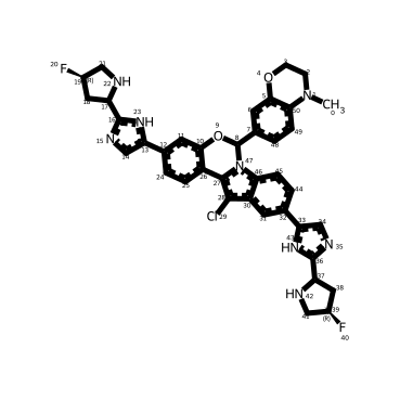 CN1CCOc2cc(C3Oc4cc(-c5cnc(C6C[C@@H](F)CN6)[nH]5)ccc4-c4c(Cl)c5cc(-c6cnc(C7C[C@@H](F)CN7)[nH]6)ccc5n43)ccc21